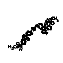 C=CC(=O)Nc1ccc(S(=O)(=O)c2ccc(N3CC(CN4CCC(C(C#N)(c5cccc(F)c5)C5CCCC5OC(=O)NC)CC4)C3)cc2)cc1